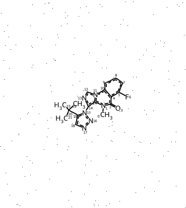 Cn1c(=O)c2c(F)cccc2n2cnc(-n3nncc3C(C)(C)C)c12